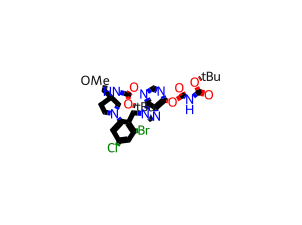 COCC1(NC(=O)OC(C)(C)C)CCN(c2cc(Cl)cc(Br)c2Cn2cnc3c(OC(=O)NC(=O)OC(C)(C)C)ncnc32)C1